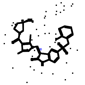 Cc1cn(/C=C2\C(=O)Nc3ccc(S(=O)(=O)Cc4ccccc4F)cc32)c(C)c1C(=O)N1CC[C@@H](N)C1